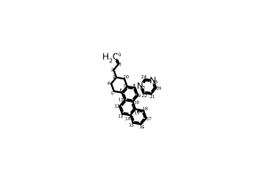 C=CCC1CCc2c(ccc3c2ccc2ccccc23)C1.c1cncnc1